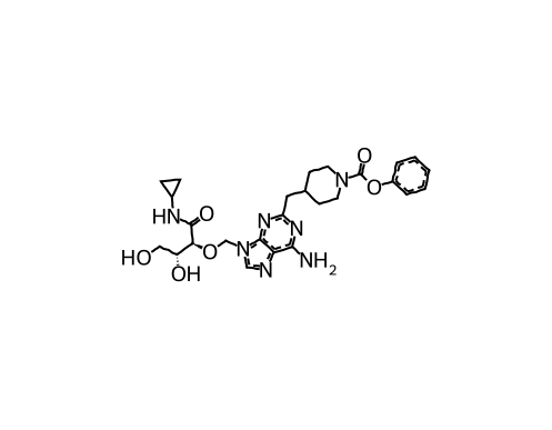 Nc1nc(CC2CCN(C(=O)Oc3ccccc3)CC2)nc2c1ncn2CO[C@H](C(=O)NC1CC1)[C@H](O)CO